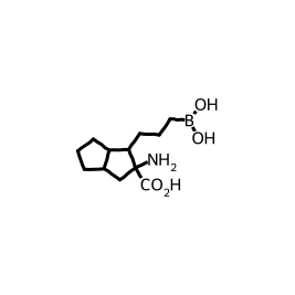 NC1(C(=O)O)CC2CCCC2C1CCCB(O)O